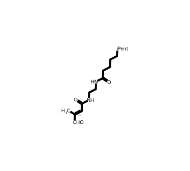 CCCC(C)CCCCC(=O)NCCNC(=O)/C=C(\C)C=O